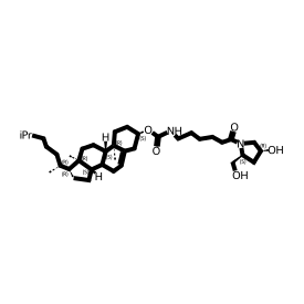 CC(C)CCC[C@@H](C)[C@H]1CC[C@H]2C3CC=C4C[C@@H](OC(=O)NCCCCCC(=O)N5C[C@H](O)C[C@H]5CO)CC[C@]4(C)[C@H]3CC[C@]12C